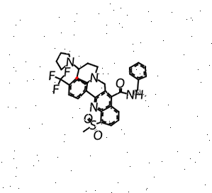 C[C@H](NC(=O)c1c(CN2CCC(N3CCCC3)CC2)c(-c2ccc(C(F)(F)F)cc2)nc2c(S(C)(=O)=O)cccc12)c1ccccc1